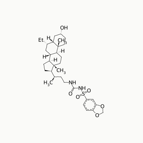 CC[C@H]1C[C@@H]2[C@H](CC[C@]3(C)[C@@H]([C@H](C)CCNC(=O)NS(=O)(=O)c4ccc5c(c4)OCO5)CC[C@@H]23)[C@@]2(C)CC[C@@H](O)C[C@@H]12